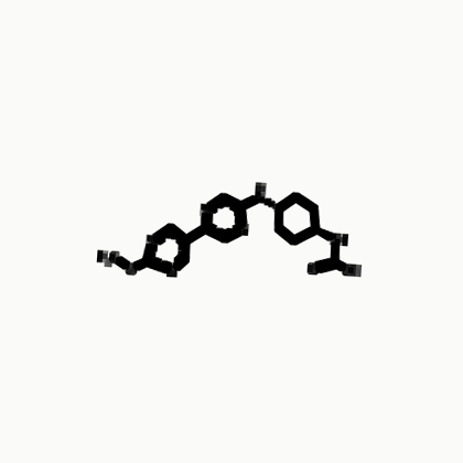 COc1ncc(-c2cnc(N[C@H]3CC[C@H](NC(=O)O)CC3)cn2)cn1